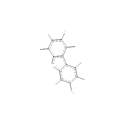 Nc1c(F)c(F)c2c(oc3c(F)c(F)c(N)c(F)c32)c1F